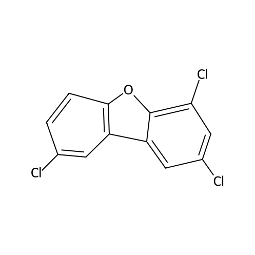 Clc1ccc2oc3c(Cl)cc(Cl)cc3c2c1